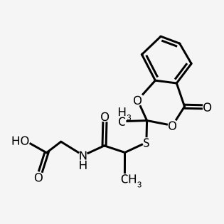 CC(SC1(C)OC(=O)c2ccccc2O1)C(=O)NCC(=O)O